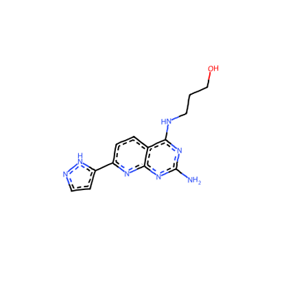 Nc1nc(NCCCO)c2ccc(-c3ccn[nH]3)nc2n1